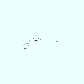 O=c1cc(CN2CCc3ccccc3C2)occ1OCC1CCN(c2ncccn2)CC1